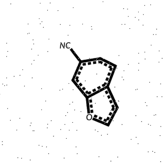 N#Cc1ccc2ccoc2c1